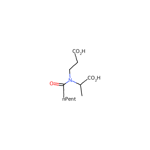 CCCCCC(=O)N(CCC(=O)O)C(C)C(=O)O